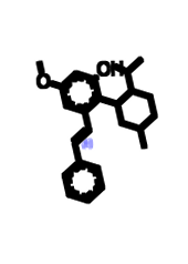 COc1cc(O)c(C2CC(C)CCC2C(C)C)c(/C=C/c2ccccc2)c1